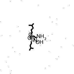 CC(C)CCCOP(=O)(CC(N)=NO)OCCCC(C)C